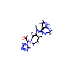 CC1CCN(C(C=O)n2cnnn2)CC1N(C)c1ncnc2[nH]ccc12